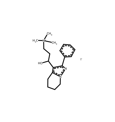 C[N+](C)(C)CCC(O)c1c(-c2ccccc2)nn2c1CCCC2.[I-]